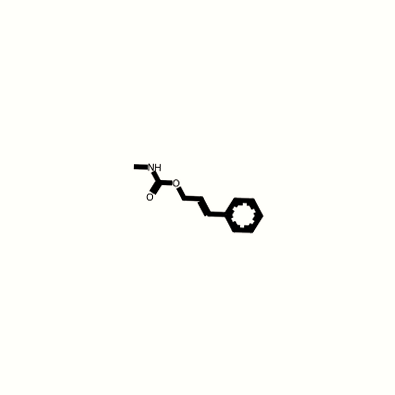 CNC(=O)OCC=Cc1ccccc1